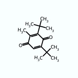 CC1=C(C(C)(C)C)C(=O)C(C(C)(C)C)=CC1=O